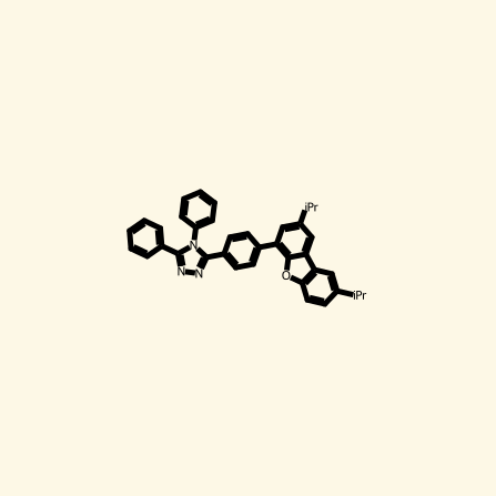 CC(C)c1ccc2oc3c(-c4ccc(-c5nnc(-c6ccccc6)n5-c5ccccc5)cc4)cc(C(C)C)cc3c2c1